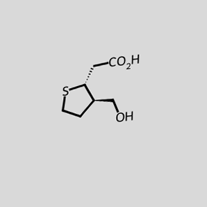 O=C(O)C[C@H]1SCC[C@@H]1CO